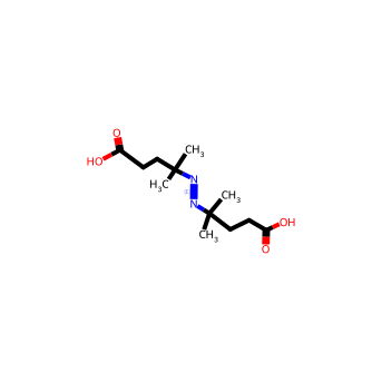 CC(C)(CCC(=O)O)/N=N/C(C)(C)CCC(=O)O